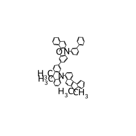 CC1(C)c2ccccc2N(c2cccc3c4c(ccc23)C(C)(C)c2ccccc2-4)c2cc(-c3ccc4c(c3)Oc3c(ccc5ccccc35)N4c3cccc(-c4ccccc4)c3)ccc21